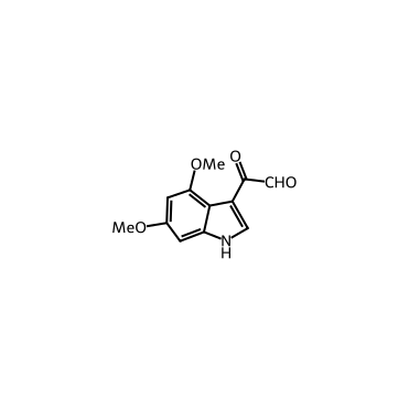 COc1cc(OC)c2c(C(=O)C=O)c[nH]c2c1